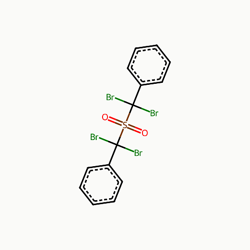 O=S(=O)(C(Br)(Br)c1ccccc1)C(Br)(Br)c1ccccc1